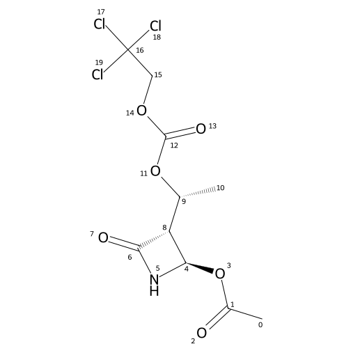 CC(=O)O[C@H]1NC(=O)[C@@H]1[C@@H](C)OC(=O)OCC(Cl)(Cl)Cl